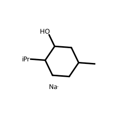 CC1CCC(C(C)C)C(O)C1.[Na]